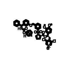 COc1ccc([C@H](Cc2c(Cl)c[n+]([O-])cc2Cl)OC(=O)[C@@H]2CCCN2S(=O)(=O)c2cccc(COc3cccc([C@@H](NC(=O)O[C@H]4CN5CCC4CC5)c4ccccc4)c3)c2)cc1OC